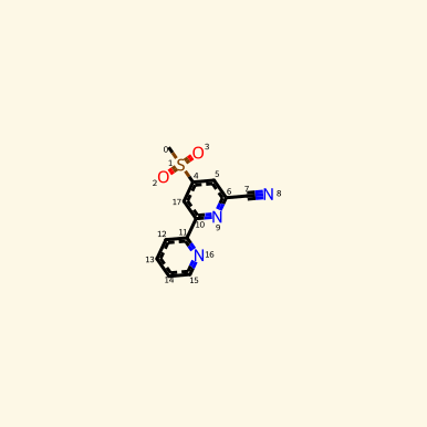 CS(=O)(=O)c1cc(C#N)nc(-c2ccccn2)c1